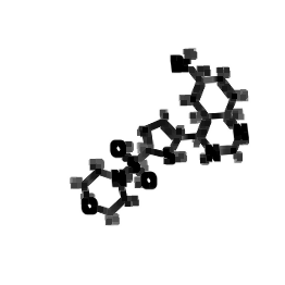 O=S(=O)(c1ccc(-c2ncnc3ccc(Br)cc23)s1)N1CCOCC1